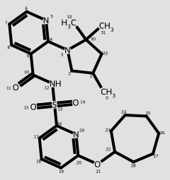 CC1CN(c2ncccc2C(=O)NS(=O)(=O)c2cccc(OC3CCCCCC3)n2)C(C)(C)C1